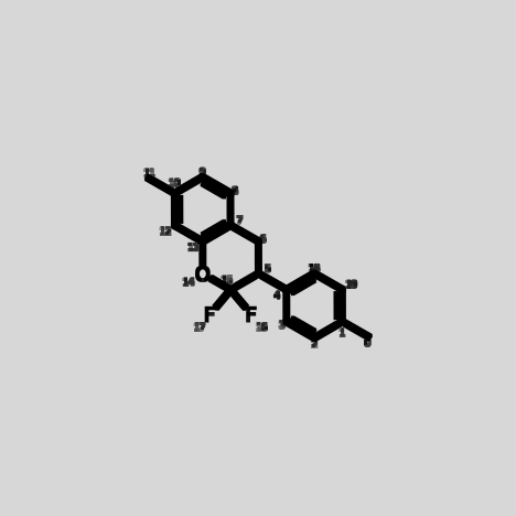 Cc1ccc(C2Cc3ccc(C)cc3OC2(F)F)cc1